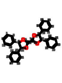 c1ccc([C@@H]2OB(B3O[C@@H](c4ccccc4)[C@H](c4ccccc4)O3)O[C@H]2c2ccccc2)cc1